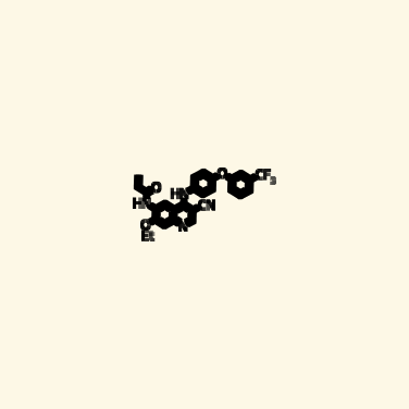 C=CC(=O)Nc1cc2c(Nc3ccc(Oc4cccc(C(F)(F)F)c4)cc3)c(C#N)cnc2cc1OCC